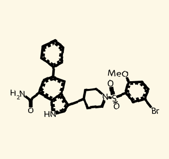 COc1ccc(Br)cc1S(=O)(=O)N1CCC(c2c[nH]c3c(C(N)=O)cc(-c4ccccc4)cc23)CC1